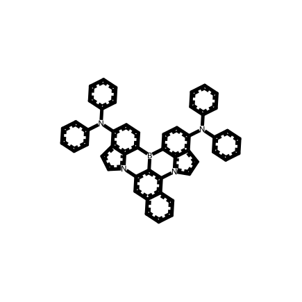 c1ccc(N(c2ccccc2)c2ccc3c4c2ccn4-c2cc4ccccc4c4c2B3c2ccc(N(c3ccccc3)c3ccccc3)c3ccn-4c23)cc1